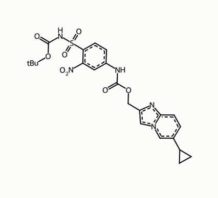 CC(C)(C)OC(=O)NS(=O)(=O)c1ccc(NC(=O)OCc2cn3cc(C4CC4)ccc3n2)cc1[N+](=O)[O-]